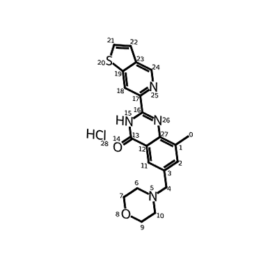 Cc1cc(CN2CCOCC2)cc2c(=O)[nH]c(-c3cc4sccc4cn3)nc12.Cl